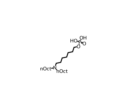 CCCCCCCCN(CCCCCCCC)CCCCCCCOP(=O)(O)O